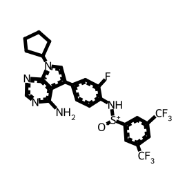 Nc1ncnc2c1c(-c1ccc(N[S+]([O-])c3cc(C(F)(F)F)cc(C(F)(F)F)c3)c(F)c1)cn2C1CCCC1